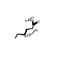 CCCCCC(=O)O.CCC[CH2][SnH]